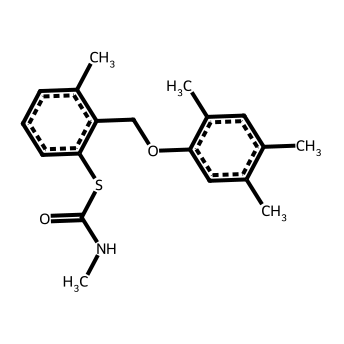 CNC(=O)Sc1cccc(C)c1COc1cc(C)c(C)cc1C